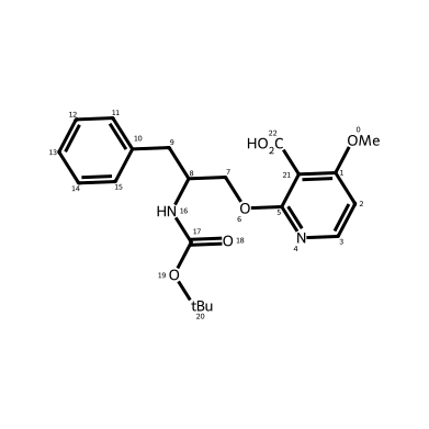 COc1ccnc(OCC(Cc2ccccc2)NC(=O)OC(C)(C)C)c1C(=O)O